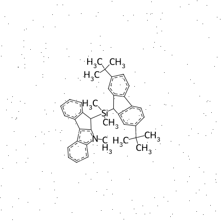 Cn1c2c(c3ccccc31)-c1ccccc1C2[Si](C)(C)C1c2cc(C(C)(C)C)ccc2-c2ccc(C(C)(C)C)cc21